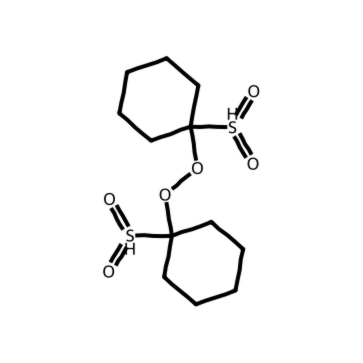 O=[SH](=O)C1(OOC2([SH](=O)=O)CCCCC2)CCCCC1